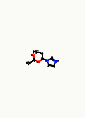 CCC(OC(C)=O)n1ccnc1